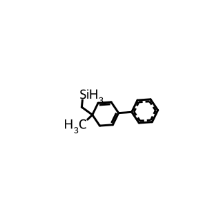 CC1(C[SiH3])C=CC(c2ccccc2)=CC1